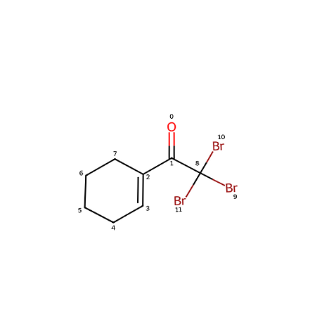 O=C(C1=CCCCC1)C(Br)(Br)Br